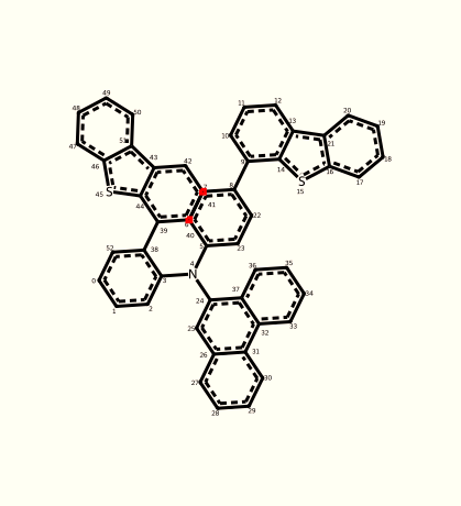 c1ccc(N(c2ccc(-c3cccc4c3sc3ccccc34)cc2)c2cc3ccccc3c3ccccc23)c(-c2cccc3c2sc2ccccc23)c1